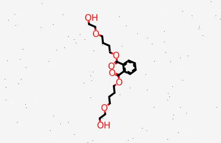 O=C(OCCCCOCCO)c1ccccc1C(=O)OCCCCOCCO